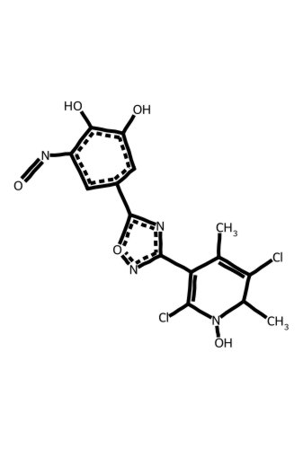 CC1=C(Cl)C(C)N(O)C(Cl)=C1c1noc(-c2cc(O)c(O)c(N=O)c2)n1